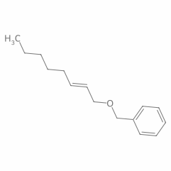 CCCCC/C=C/COCc1ccccc1